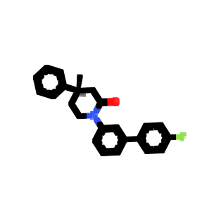 C[C@]1(c2ccccc2)CCN(c2cccc(-c3ccc(F)cc3)c2)C(=O)C1